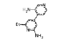 CCc1cc(-c2ccncc2N)cc(N)n1